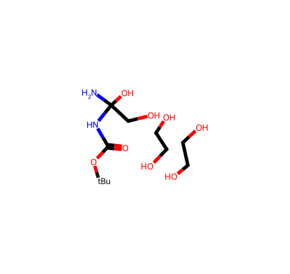 CC(C)(C)OC(=O)NC(N)(O)CO.OCCO.OCCO